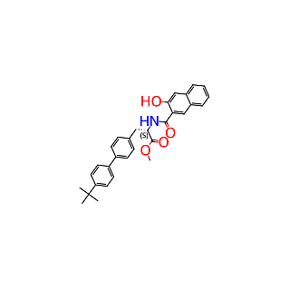 COC(=O)[C@H](Cc1ccc(-c2ccc(C(C)(C)C)cc2)cc1)NC(=O)c1cc2ccccc2cc1O